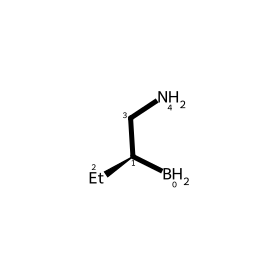 B[C@@H](CC)CN